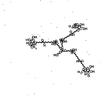 CC(=O)N[C@H]1[C@H](OCCCCC(=O)NCCCCCCOP(=O)(O)OCCCOCC(COCCO)(COCCCOP(=O)(O)OCCCCCCNC(=O)CCCCOC2O[C@H](CO)[C@H](O)[C@H](O)[C@H]2NC(C)=O)COCCCOP(=O)(O)OCCCCCCNC(=O)CCCCO[C@@H]2O[C@H](CO)[C@H](O)[C@H](O)[C@H]2NC(C)=O)O[C@H](CO)[C@H](O)[C@@H]1O